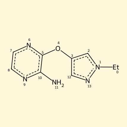 CCn1cc(Oc2nccnc2N)cn1